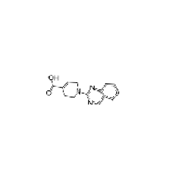 O=C(O)C1=CCN(c2ncc3ccccc3n2)CC1